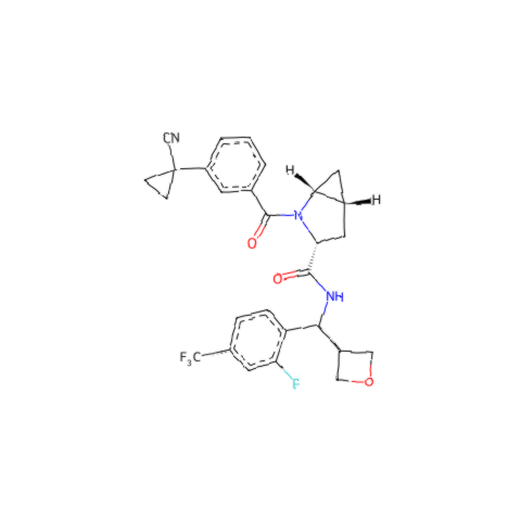 N#CC1(c2cccc(C(=O)N3[C@@H](C(=O)NC(c4ccc(C(F)(F)F)cc4F)C4COC4)C[C@H]4C[C@H]43)c2)CC1